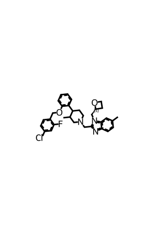 Cc1ccc2nc(CN3CCC(c4ccccc4OCc4ccc(Cl)cc4F)C(C)C3)n(C[C@@H]3CCO3)c2c1